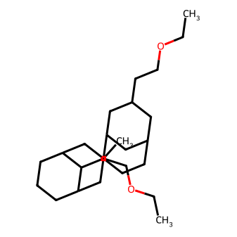 CCOCCC1CC2CCC(C3C4CCCC3CC(C)(COCC)C4)C(C1)C2